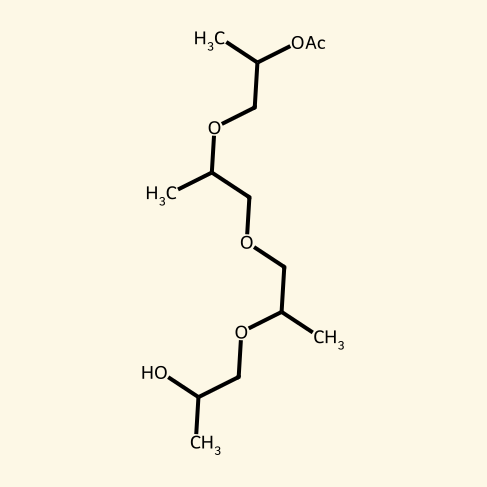 CC(=O)OC(C)COC(C)COCC(C)OCC(C)O